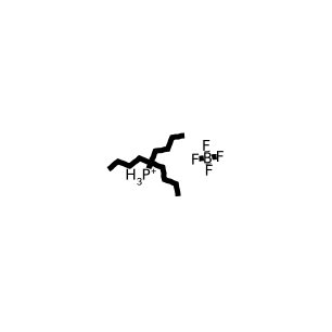 CCCCC([PH3+])(CCCC)CCCC.F[B-](F)(F)F